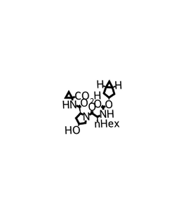 CCCCCC[C@H](NC(=O)O[C@@H]1C[C@@H]2C[C@@H]2C1)C(=O)N1C[C@H](O)C[C@H]1C(=O)NC1(C(=O)O)CC1